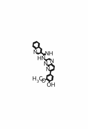 COc1cc(-c2ccc3ncc(NC(=N)c4cnc5ccccc5c4)nc3n2)ccc1O